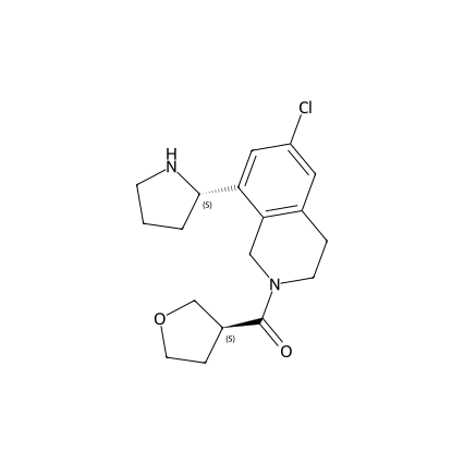 O=C([C@H]1CCOC1)N1CCc2cc(Cl)cc([C@@H]3CCCN3)c2C1